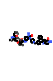 CCC(=O)NC(C)(C)CCOC(C)(C)CC(=O)Nc1ccc2[nH]c(=O)n(C3CCN(Cc4ccc(-c5nc6cc[nH]c(=O)c6cc5-c5ccccc5)cc4)CC3)c2c1